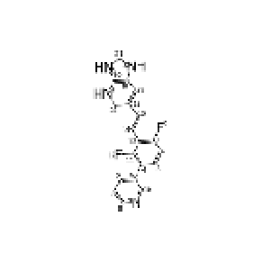 Fc1ccc(-c2cccnc2)c(F)c1C=CC1=CC2=C(NCN2)NC1